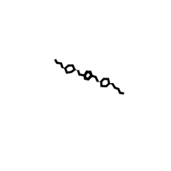 CCCCC[C@H]1CC[C@H](CCc2ccc(CC[C@H]3CC[C@H](CCCC)CC3)cc2)CC1